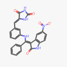 O=C1NC(=O)C(=Cc2cccc(NC(=C3C(=O)Nc4ccc([N+](=O)[O-])cc43)c3ccccc3)c2)N1